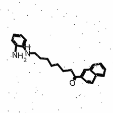 Nc1ccccc1NCCCCCCCC(=O)c1ccc2ccccc2c1